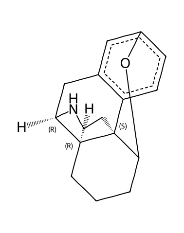 c1cc2c3cc1OC1CCC[C@H]4[C@@H](C3)NCC[C@]214